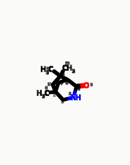 CC12CNC(=O)C(C1)C(C)(C)C2